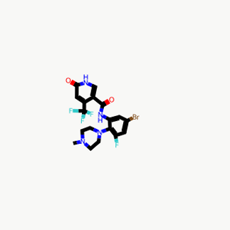 CN1CCN(c2c(F)cc(Br)cc2NC(=O)c2c[nH]c(=O)cc2C(F)(F)F)CC1